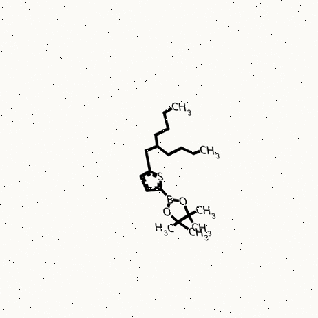 CCCCC(CCCC)Cc1ccc(B2OC(C)(C)C(C)(C)O2)s1